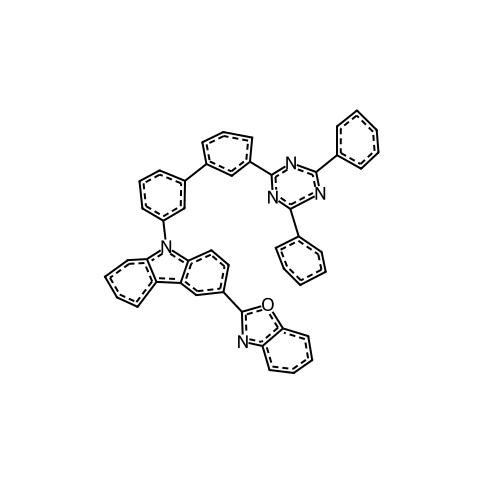 c1ccc(-c2nc(-c3ccccc3)nc(-c3cccc(-c4cccc(-n5c6ccccc6c6cc(-c7nc8ccccc8o7)ccc65)c4)c3)n2)cc1